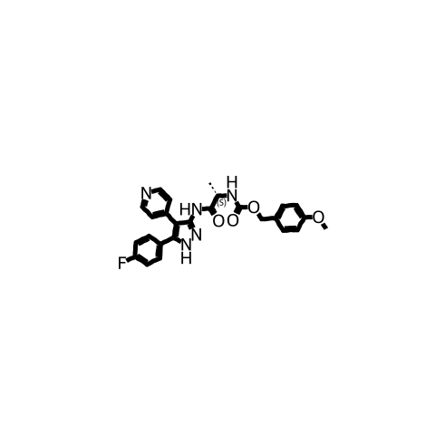 COc1ccc(COC(=O)N[C@@H](C)C(=O)Nc2n[nH]c(-c3ccc(F)cc3)c2-c2ccncc2)cc1